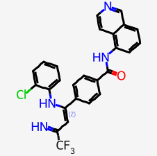 N=C(/C=C(\Nc1ccccc1Cl)c1ccc(C(=O)Nc2cccc3cnccc23)cc1)C(F)(F)F